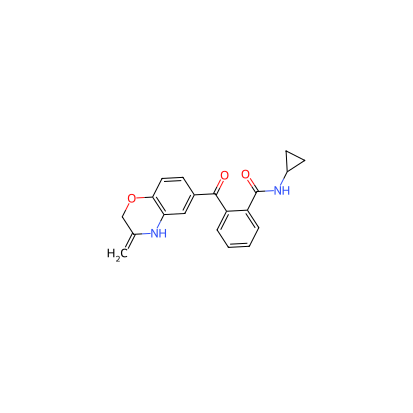 C=C1COc2ccc(C(=O)c3ccccc3C(=O)NC3CC3)cc2N1